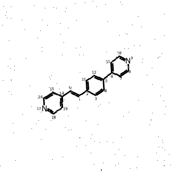 C(=Cc1ccc(-c2ccncc2)cc1)c1ccncc1